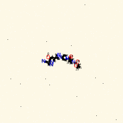 COc1cc(-c2cnn(C3CCN(C(=O)C4(C)CN(C(=O)OC(C)(C)C)C4)CC3)c2)cn2ncc(C#N)c12